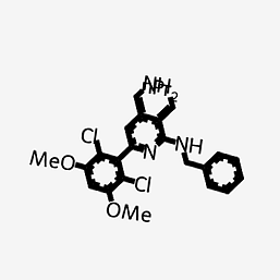 CCC/C=c1/c(NCc2ccccc2)nc(-c2c(Cl)c(OC)cc(OC)c2Cl)c/c1=C/N